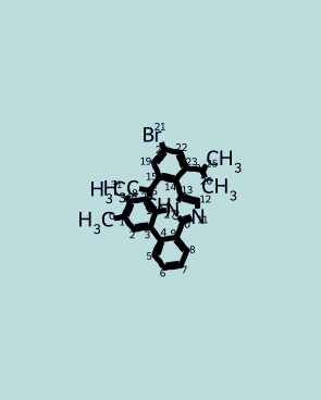 Cc1cc2c3ccccc3c3ncc(-c4c(C(C)C)cc(Br)cc4C(C)C)n3c2cc1C